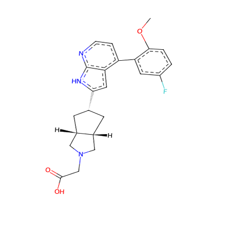 COc1ccc(F)cc1-c1ccnc2[nH]c([C@@H]3C[C@@H]4CN(CC(=O)O)C[C@@H]4C3)cc12